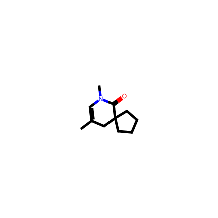 CC1=CN(C)C(=O)C2(CCCC2)C1